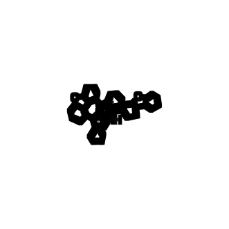 c1ccc(C2=NC(c3cccc4oc5cccc(-c6cccc7c6sc6ccccc67)c5c34)=NC(c3ccc4c(c3)oc3ccccc34)N2)cc1